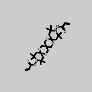 C=CC(=O)ON1C(C)(C)CC2(CC1(C)C)OCC1(CO2)COC2(CC(C)(C)N(OC(=O)C=C)C(C)(C)C2)OC1